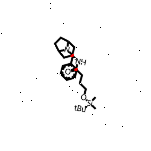 CC(C)(C)[Si](C)(C)OCCCC(=O)NC1CC2CCC(C1)N2Cc1ccccc1